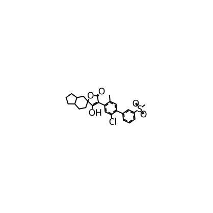 Cc1cc(-c2cccc(S(C)(=O)=O)c2)c(Cl)cc1C1=C(O)C2(CCC3CCCC3C2)OC1=O